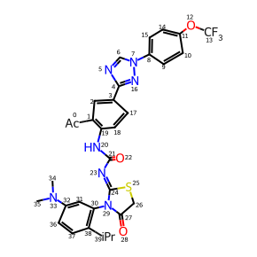 CC(=O)c1cc(-c2ncn(-c3ccc(OC(F)(F)F)cc3)n2)ccc1NC(=O)N=C1SCC(=O)N1c1cc(N(C)C)ccc1C(C)C